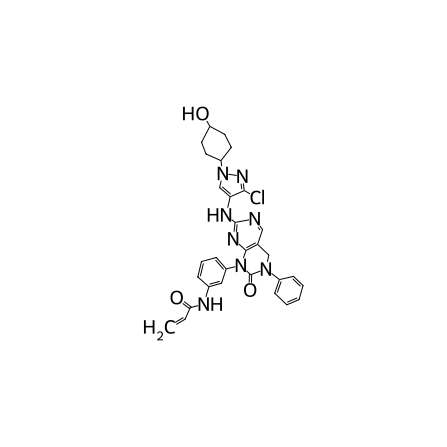 C=CC(=O)Nc1cccc(N2C(=O)N(c3ccccc3)Cc3cnc(Nc4cn(C5CCC(O)CC5)nc4Cl)nc32)c1